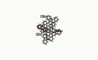 CC(C)(C)c1cc(-c2ccccc2)cc(N2c3ccc(-c4c(-c5ccc6sc7ccccc7c6c5)cccc4-n4c5ccccc5c5ccccc54)cc3B3c4ccc(C(C)(C)C)cc4N(c4ccc(-c5ccccc5)cc4)c4cc(-c5c(-c6cccc7sc8ccc(C(C)(C)C)cc8c67)cccc5-n5c6ccccc6c6ccccc65)cc2c43)c1